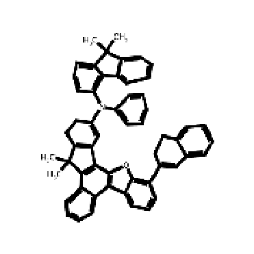 CC1(C)C2=C(C=C(N(c3ccccc3)c3cccc4c3-c3ccccc3C4(C)C)CC2)c2c1c1ccccc1c1c2oc2c(C3=Cc4ccccc4CC3)cccc21